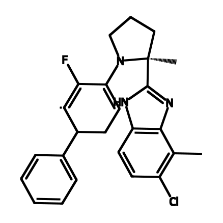 Cc1c(Cl)ccc2[nH]c([C@]3(C)CCCN3C3=CCC(c4ccccc4)[C]=C3F)nc12